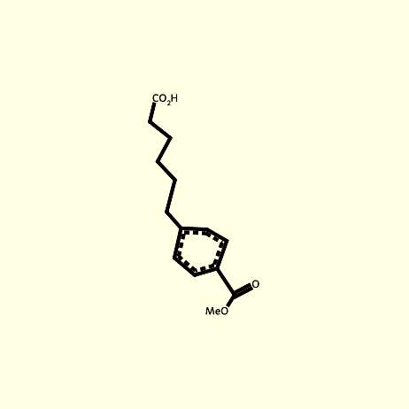 COC(=O)c1ccc(CCCCCC(=O)O)cc1